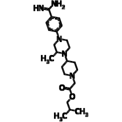 CC(C)COC(=O)CN1CCC(N2CCN(c3ccc(C(=N)N)cc3)CC2C)CC1